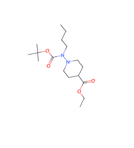 CCCCN(C(=O)OC(C)(C)C)N1CCC(C(=O)OCC)CC1